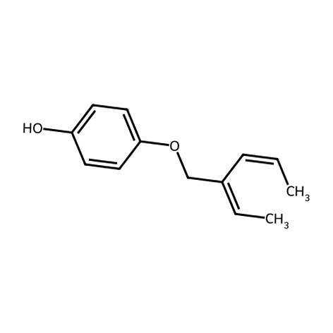 C/C=C\C(=C/C)COc1ccc(O)cc1